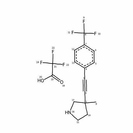 CC1(C#Cc2ccc(C(F)(F)F)cc2)CCNC1.O=C(O)C(F)(F)F